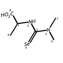 CC(NC(=[Se])N(C)C)C(=O)O